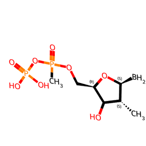 B[C@@H]1O[C@H](COP(C)(=O)OP(=O)(O)O)C(O)[C@H]1C